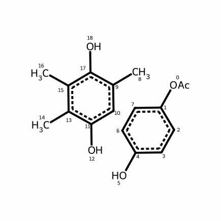 CC(=O)Oc1ccc(O)cc1.Cc1cc(O)c(C)c(C)c1O